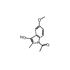 COc1ccc2c(c1)c(O)c(C)n2C(C)=O